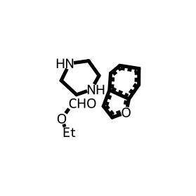 C1CNCCN1.CCOC=O.c1ccc2occc2c1